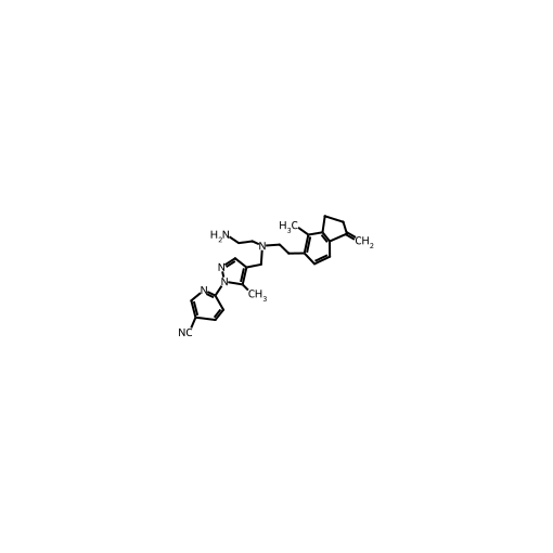 C=C1CCc2c1ccc(CCN(CCN)Cc1cnn(-c3ccc(C#N)cn3)c1C)c2C